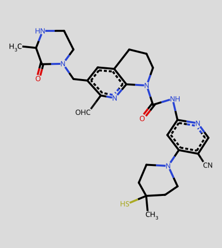 CC1NCCN(Cc2cc3c(nc2C=O)N(C(=O)Nc2cc(N4CCC(C)(S)CC4)c(C#N)cn2)CCC3)C1=O